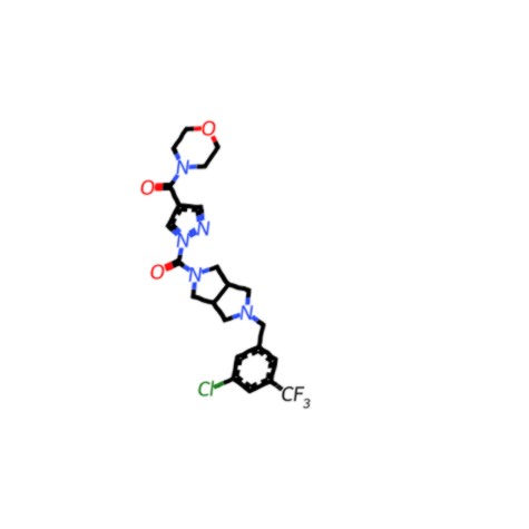 O=C(c1cnn(C(=O)N2CC3CN(Cc4cc(Cl)cc(C(F)(F)F)c4)CC3C2)c1)N1CCOCC1